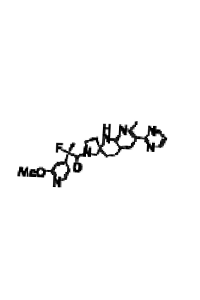 COc1cc([C@](C)(F)C(=O)N2CC[C@@]3(CCc4cc(-c5ncccn5)c(C)nc4N3)C2)ccn1